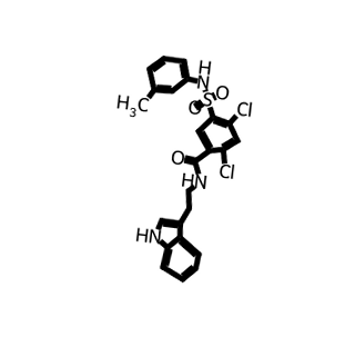 Cc1cccc(NS(=O)(=O)c2cc(C(=O)NCCc3c[nH]c4ccccc34)c(Cl)cc2Cl)c1